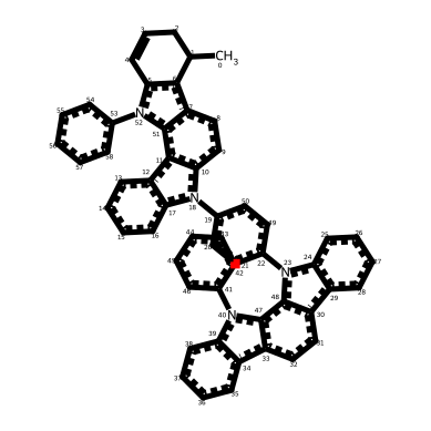 CC1CC=Cc2c1c1ccc3c(c4ccccc4n3-c3ccc(-n4c5ccccc5c5ccc6c7ccccc7n(-c7ccccc7)c6c54)cc3)c1n2-c1ccccc1